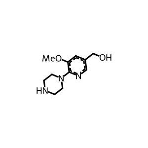 COc1cc(CO)cnc1N1CCNCC1